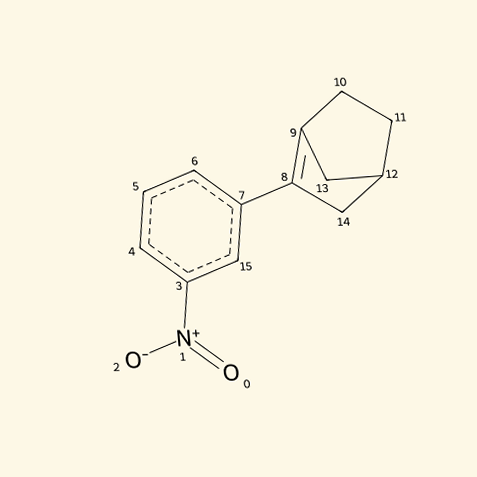 O=[N+]([O-])c1cccc(C2=C3CCC(C3)C2)c1